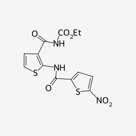 CCOC(=O)NC(=O)c1ccsc1NC(=O)c1ccc([N+](=O)[O-])s1